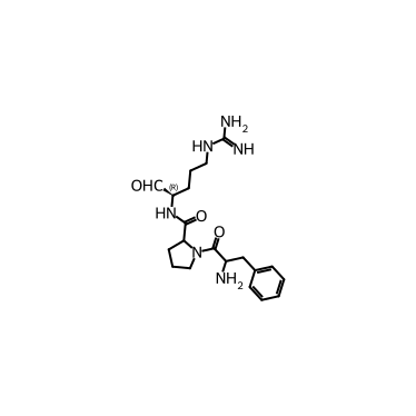 N=C(N)NCCC[C@H](C=O)NC(=O)C1CCCN1C(=O)C(N)Cc1ccccc1